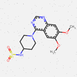 COc1cc2ncnc(N3CCC(N[SH](=O)=O)CC3)c2cc1OC